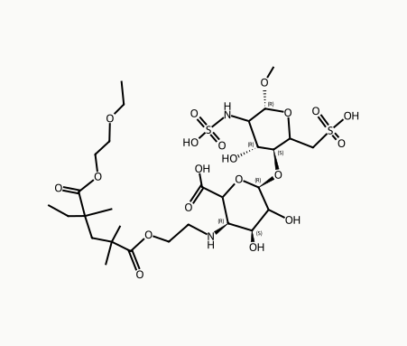 CCOCCOC(=O)C(C)(CC)CC(C)(C)C(=O)OCCN[C@H]1C(C(=O)O)O[C@@H](O[C@@H]2C(CS(=O)(=O)O)O[C@@H](OC)C(NS(=O)(=O)O)[C@H]2O)C(O)[C@H]1O